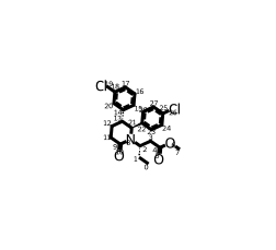 CC[C@@H](CC(=O)OC)N1C(=O)CC[C@H](c2cccc(Cl)c2)[C@H]1c1ccc(Cl)cc1